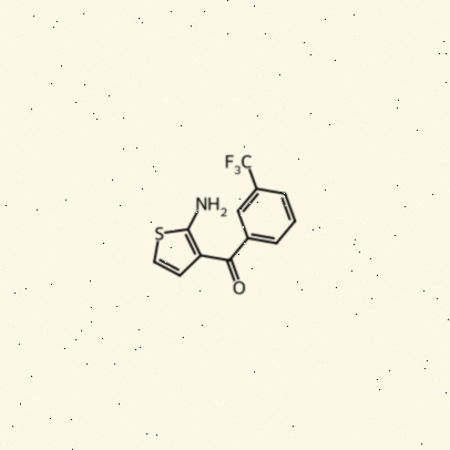 Nc1sccc1C(=O)c1cccc(C(F)(F)F)c1